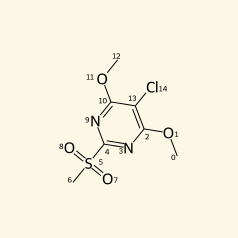 COc1nc(S(C)(=O)=O)nc(OC)c1Cl